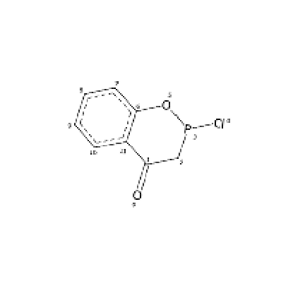 O=C1CP(Cl)Oc2ccccc21